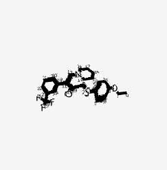 CCOc1ccc(SCC(=O)C(=CN2CCCCC2)c2cccc(C(F)(F)F)c2)cc1